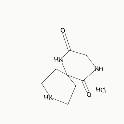 Cl.O=C1CNC(=O)C2(CCNCC2)N1